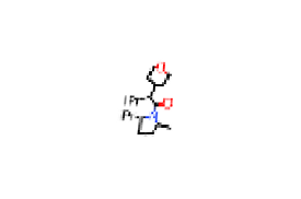 CC(C)C(C(=O)N1C(C)CC[C@H]1C(C)C)C1CCOCC1